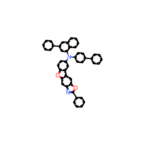 c1ccc(-c2ccc(N(c3ccc4oc5cc6nc(-c7ccccc7)oc6cc5c4c3)c3cc(-c4ccccc4)cc4ccccc34)cc2)cc1